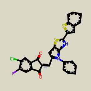 O=C1/C(=C\c2cc3sc(-c4cc5ccccc5s4)nc3n2-c2ccccc2)C(=O)c2cc(I)c(Cl)cc21